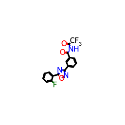 O=C(NC(=O)C(F)(F)F)c1cccc(-c2noc(-c3ccccc3F)n2)c1